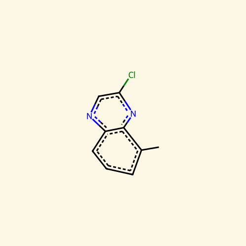 Cc1cccc2ncc(Cl)nc12